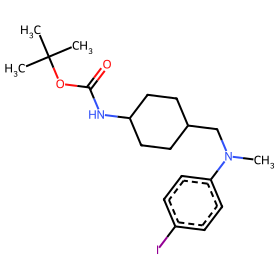 CN(CC1CCC(NC(=O)OC(C)(C)C)CC1)c1ccc(I)cc1